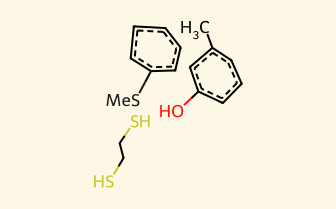 CSc1ccccc1.Cc1cccc(O)c1.SCCS